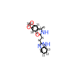 CC(NC(=O)CCc1nc2ccccc2[nH]1)c1ccc2c(c1)OCO2